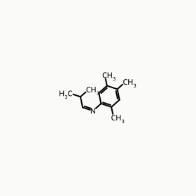 Cc1cc(C)c(/N=C\C(C)C)cc1C